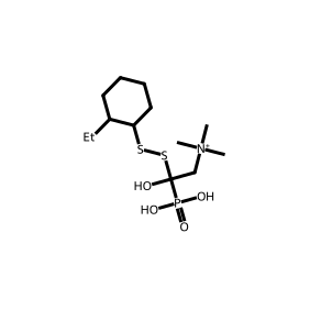 CCC1CCCCC1SSC(O)(C[N+](C)(C)C)P(=O)(O)O